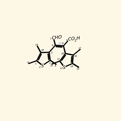 Cc1sc(C)c(/C(C=O)=C(/C(=O)O)c2c(C)sc(C)c2C)c1C